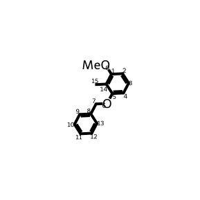 COc1cccc(OCc2ccccc2)c1C